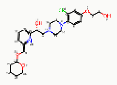 OCCOc1ccc(N2CCN(C[C@@H](O)c3cccc(COC4CCCCO4)n3)CC2)c(Cl)c1